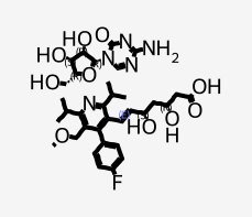 COCc1c(C(C)C)nc(C(C)C)c(/C=C/[C@@H](O)C[C@@H](O)CC(=O)O)c1-c1ccc(F)cc1.Nc1ncn([C@@H]2O[C@H](CO)[C@@H](O)[C@H]2O)c(=O)n1